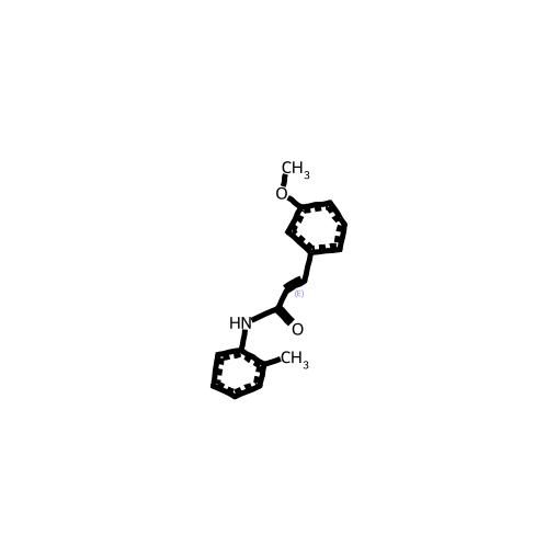 COc1cccc(/C=C/C(=O)Nc2ccccc2C)c1